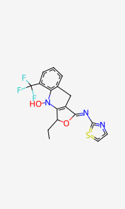 CCC1OC(=Nc2nccs2)C2=C1N(O)c1c(cccc1C(F)(F)F)C2